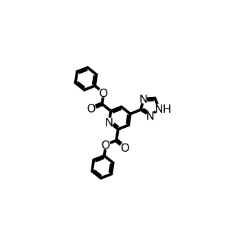 O=C(Oc1ccccc1)c1cc(-c2nc[nH]n2)cc(C(=O)Oc2ccccc2)n1